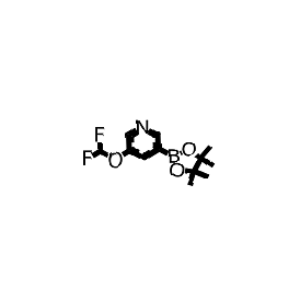 CC1(C)OB(c2cncc(OC(F)F)c2)OC1(C)C